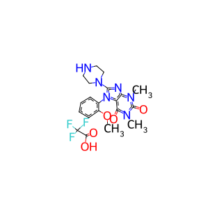 COc1ccccc1-n1c(N2CCNCC2)nc2c1c(=O)n(C)c(=O)n2C.O=C(O)C(F)(F)F